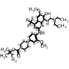 CCN(CC)CNc1c(O)c(OC)cc2c(C(F)(F)F)nc(Nc3ccc(N4CCN(C(=O)OC(C)(C)C)CC4)cc3OC)nc12